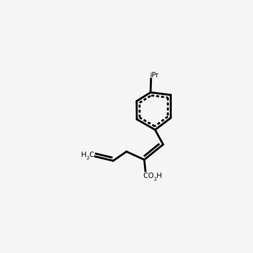 C=CCC(=Cc1ccc(C(C)C)cc1)C(=O)O